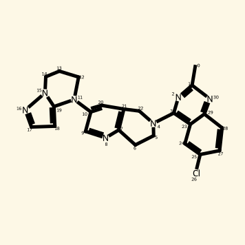 Cc1nc(N2CCc3ncc(N4CCCn5nccc54)cc3C2)c2cc(Cl)ccc2n1